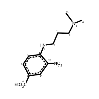 CCOC(=O)c1ccc(NCCCN(C)C)c([N+](=O)[O-])c1